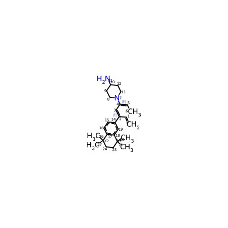 C=C/C(=C\C(=C/C)N1CCC(N)CC1)c1ccc2c(c1)C(C)(C)CCC2(C)C